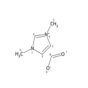 Cn1cc[n+](C)c1.O=C[O-]